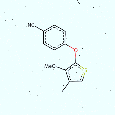 COc1c(C)csc1Oc1ccc(C#N)cc1